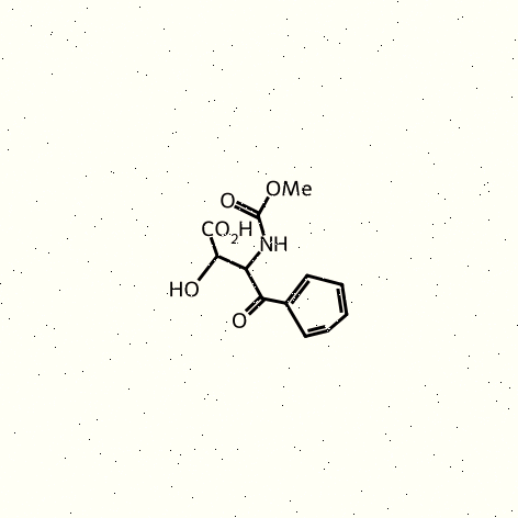 COC(=O)NC(C(=O)c1ccccc1)C(O)C(=O)O